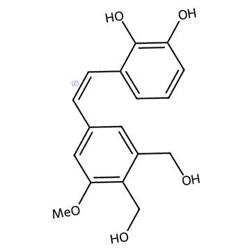 COc1cc(/C=C\c2cccc(O)c2O)cc(CO)c1CO